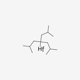 CC(C)C[C]([Hf])(CC(C)C)CC(C)C